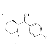 CC1(C)CCCC[C@H]1[C@@H](O)c1ccc(F)cc1